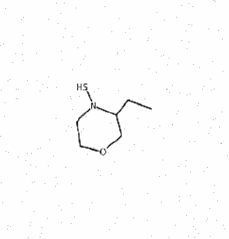 CCC1COCCN1S